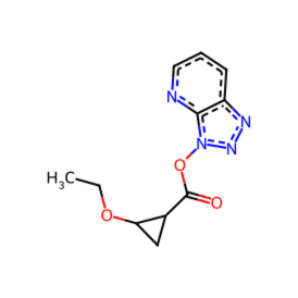 CCOC1CC1C(=O)On1nnc2cccnc21